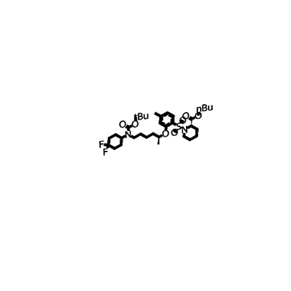 CCCCOC(=O)[C@@H]1CCCCN1S(=O)(=O)c1ccc(C)cc1O[C@@H](C)CCCCN(C(=O)OC(C)(C)C)C1CCC(F)(F)CC1